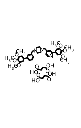 COc1cc(-c2cccc(CN3CCN(Cc4ccnc(-c5cc(OC)c(OC)c(OC)c5)c4)CC3)c2)cc(OC)c1OC.O=C(O)C=CC(=O)O.O=C(O)C=CC(=O)O